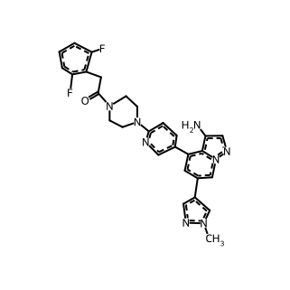 Cn1cc(-c2cc(-c3ccc(N4CCN(C(=O)Cc5c(F)cccc5F)CC4)nc3)c3c(N)cnn3c2)cn1